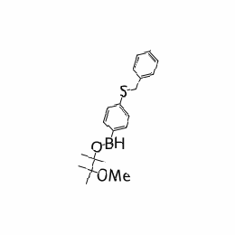 COC(C)(C)C(C)(C)OBc1ccc(SCc2ccccc2)cc1